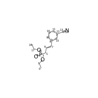 CCOP(=O)(CC=Cc1cccc(C#N)c1)OCC